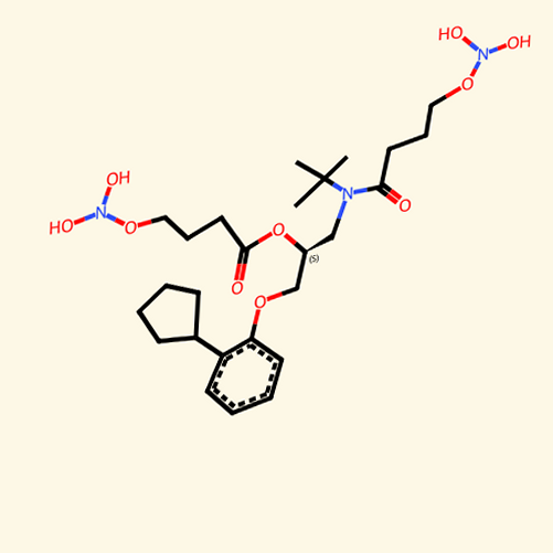 CC(C)(C)N(C[C@@H](COc1ccccc1C1CCCC1)OC(=O)CCCON(O)O)C(=O)CCCON(O)O